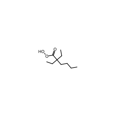 CCCCC(CC)(CC)C(=O)OO